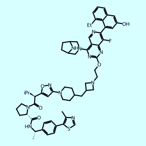 CCc1cccc2cc(O)cc(-c3ncc4c(N5CC6CCC(C5)N6)nc(OCCN5CC(CC6CCN(c7cc([C@@H](C(=O)N8CCC[C@H]8C(=O)N[C@@H](C)c8ccc(-c9scnc9C)cc8)C(C)C)on7)CC6)C5)nc4c3F)c12